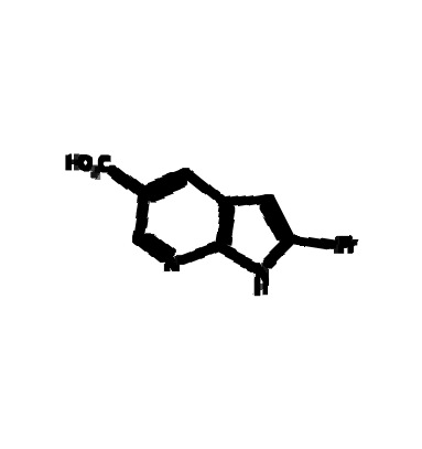 CC(C)c1cc2cc(C(=O)O)cnc2[nH]1